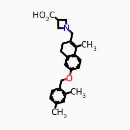 CC1=C(CN2CC(C(=O)O)C2)CCc2cc(OCc3ccc(C)cc3C)ccc21